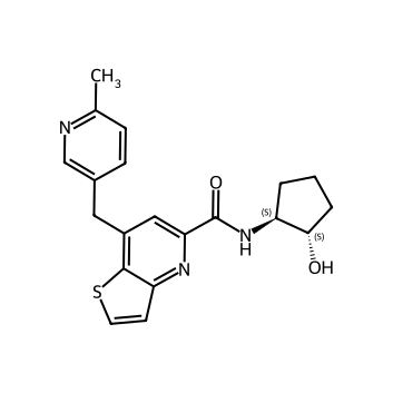 Cc1ccc(Cc2cc(C(=O)N[C@H]3CCC[C@@H]3O)nc3ccsc23)cn1